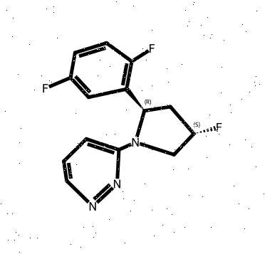 Fc1ccc(F)c([C@H]2C[C@H](F)CN2c2cccnn2)c1